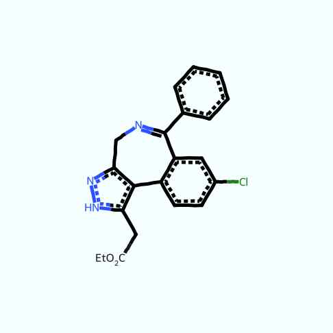 CCOC(=O)Cc1[nH]nc2c1-c1ccc(Cl)cc1C(c1ccccc1)=NC2